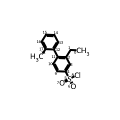 CCc1cc(S(=O)(=O)Cl)ccc1-c1ccccc1C